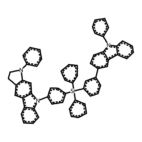 c1ccc(N2CCc3cc4c5ccccc5n(-c5ccc([Si](c6ccccc6)(c6ccccc6)c6cccc(-c7ccc8c(c7)c7ccccc7n8-c7ccccc7)c6)cc5)c4cc32)cc1